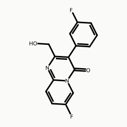 O=c1c(-c2cccc(F)c2)c(CO)nc2ccc(F)cn12